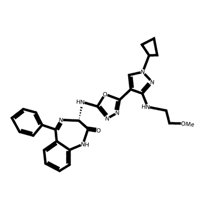 COCCNc1nn(C2CCC2)cc1-c1nnc(N[C@H]2N=C(c3ccccc3)c3ccccc3NC2=O)o1